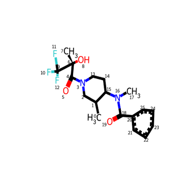 CC1CN(C(=O)[C@@](C)(O)C(F)(F)F)CCC1N(C)C(=O)c1ccccc1